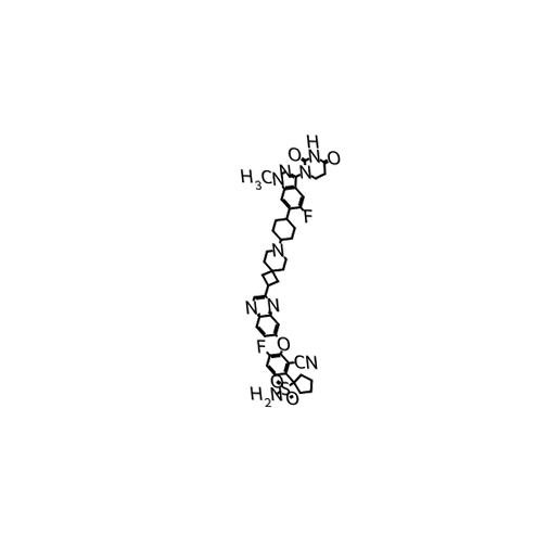 Cn1nc(N2CCC(=O)NC2=O)c2cc(F)c(C3CCC(N4CCC5(CC4)CC(c4cnc6ccc(Oc7c(F)ccc(C8(S(N)(=O)=O)CCCC8)c7C#N)cc6n4)C5)CC3)cc21